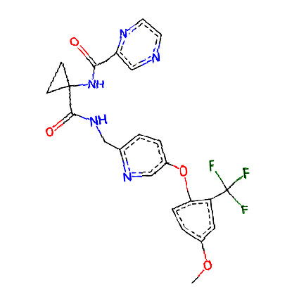 COc1ccc(Oc2ccc(CNC(=O)C3(NC(=O)c4cnccn4)CC3)nc2)c(C(F)(F)F)c1